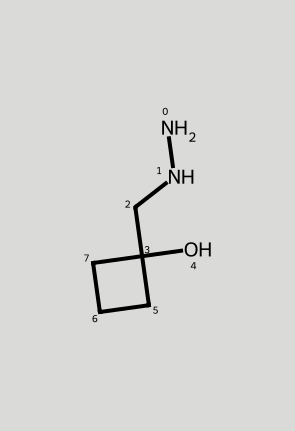 NNCC1(O)CCC1